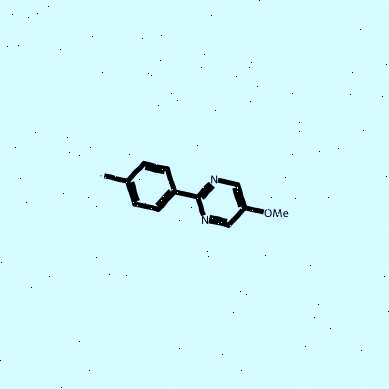 [CH2]c1ccc(-c2ncc(OC)cn2)cc1